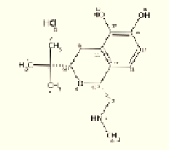 CNC[C@@H]1O[C@H](C(C)(C)C)Cc2c1ccc(O)c2O.Cl